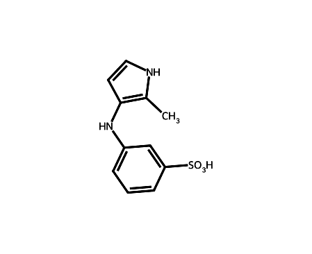 Cc1[nH]ccc1Nc1cccc(S(=O)(=O)O)c1